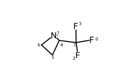 FC(F)(F)C1CC[N]1